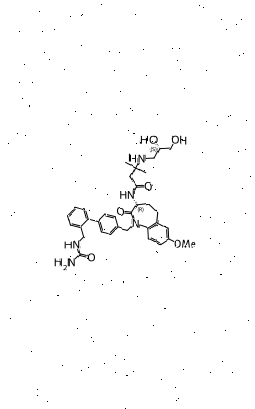 COc1ccc2c(c1)CC[C@@H](NC(=O)CC(C)(C)NC[C@H](O)CO)C(=O)N2Cc1ccc(-c2ccccc2CNC(N)=O)cc1